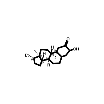 CC[C@H]1CC[C@H]2[C@@H]3CCC4CC(O)C(=O)C[C@]4(C)[C@H]3CC[C@]12C